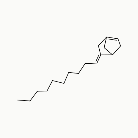 CCCCCCCCCC=C1CC2=CCC1C2